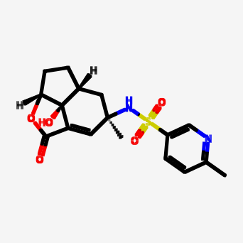 Cc1ccc(S(=O)(=O)N[C@@]2(C)C=C3C(=O)O[C@@H]4CC[C@H](C2)[C@]34O)cn1